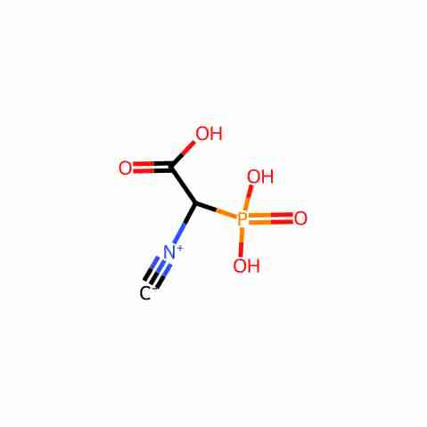 [C-]#[N+]C(C(=O)O)P(=O)(O)O